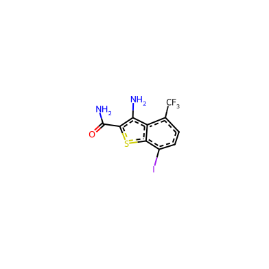 NC(=O)c1sc2c(I)ccc(C(F)(F)F)c2c1N